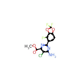 COC(=O)c1nc(-c2ccc3c(c2F)OC(F)(F)O3)nc(N)c1Cl